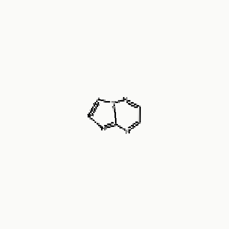 [c]1cnc2nccnn12